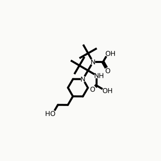 CC(C)(C)N(C(=O)O)C(NC(=O)O)(N1CCC(CCO)CC1)C(C)(C)C